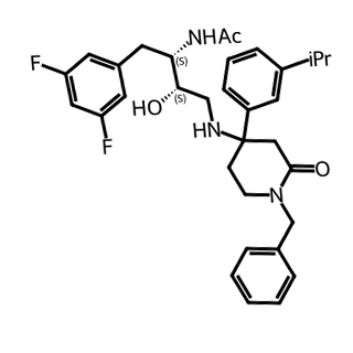 CC(=O)N[C@@H](Cc1cc(F)cc(F)c1)[C@@H](O)CNC1(c2cccc(C(C)C)c2)CCN(Cc2ccccc2)C(=O)C1